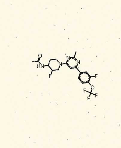 CC(=O)NC1CCN(c2cc(-c3ccc(OC(F)(F)F)c(F)c3)nc(C)n2)CC1F